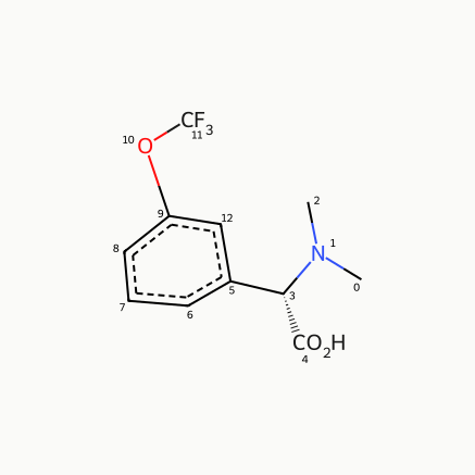 CN(C)[C@H](C(=O)O)c1cccc(OC(F)(F)F)c1